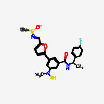 C[C@@H](NC(=O)c1cc(-c2ccc(/C=N/[S+]([O-])C(C)(C)C)o2)cc(N(C)S)c1)c1ccc(F)cc1